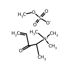 C=CC(=O)C(C)[N+](C)(C)C.COS(=O)(=O)[O-]